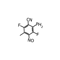 Cc1c(F)c(C#N)c(P)c(F)c1N=O